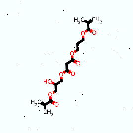 C=C(C)C(=O)OCCCOC(=O)CC(=O)OCC(O)COC(=O)C(=C)C